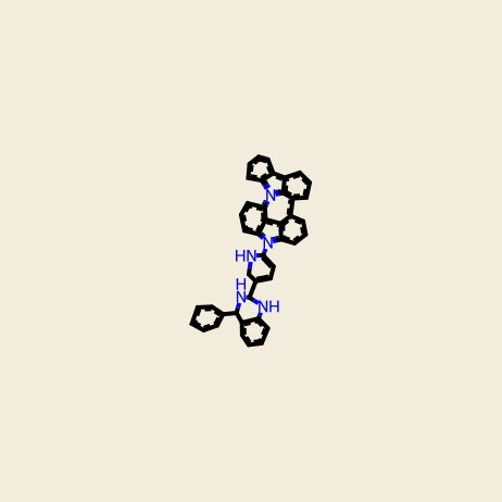 C1=C(C2Nc3ccccc3C(c3ccccc3)N2)CNC(n2c3cccc4c5cccc6c7ccccc7n(c7cccc2c7c43)c56)=C1